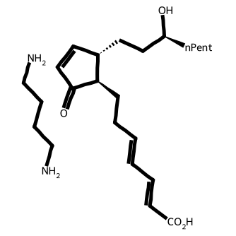 CCCCC[C@H](O)CC[C@H]1C=CC(=O)[C@@H]1CCC=CC=CC(=O)O.NCCCCN